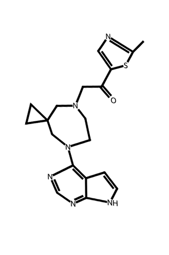 Cc1ncc(C(=O)CN2CCN(c3ncnc4[nH]ccc34)CC3(CC3)C2)s1